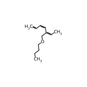 C=C/C=C\C(=C/C)COCCCC